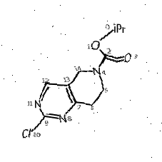 CC(C)OC(=O)N1CCc2nc(Cl)ncc2C1